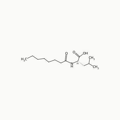 CCCCCCCC(=O)N[C@@H](CC(C)C)C(=O)O